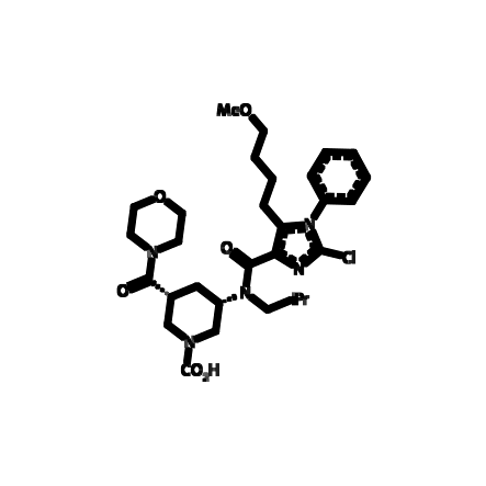 COCCCCc1c(C(=O)N(CC(C)C)[C@H]2C[C@@H](C(=O)N3CCOCC3)CN(C(=O)O)C2)nc(Cl)n1-c1ccccc1